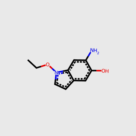 CCOn1ccc2cc(O)c(N)cc21